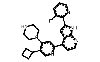 Fc1cccnc1-c1cc2c(-c3cc(N4CCNCC4)c(C4CCC4)cn3)ccnc2[nH]1